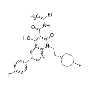 C=C(CC)NC(=O)c1c(O)c2cc(-c3ccc(F)cc3)cnc2n(CCN2CCC(F)CC2)c1=O